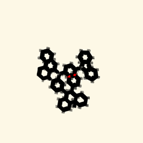 CC1CC=Cc2c1c(N(c1ccc(-n3c4ccccc4c4ccccc43)cc1)c1cccc(C3=C4C=CC=CC4C4(C)C=CC=CC4=C3c3ccccc3)c1)cc1ccccc21